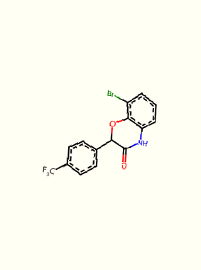 O=C1Nc2cccc(Br)c2OC1c1ccc(C(F)(F)F)cc1